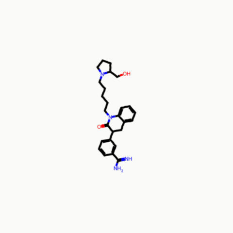 N=C(N)c1cccc(C2Cc3ccccc3N(CCCCCN3CCCC3CO)C2=O)c1